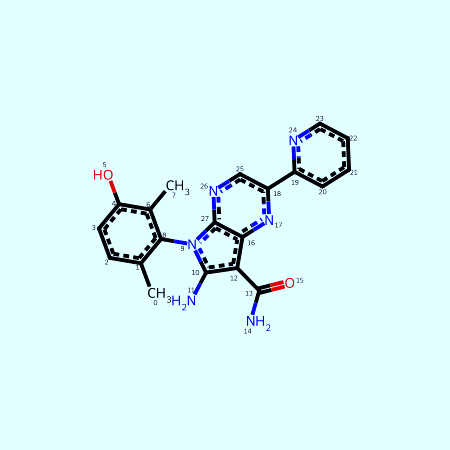 Cc1ccc(O)c(C)c1-n1c(N)c(C(N)=O)c2nc(-c3ccccn3)cnc21